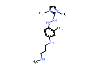 CNCCCNc1ccc(NNc2n(C)cc[n+]2C)c(C)c1